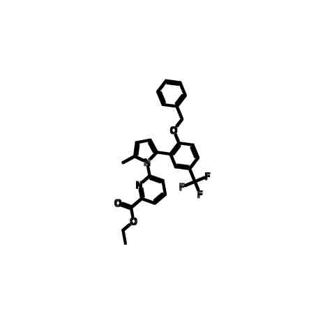 CCOC(=O)c1cccc(-n2c(C)ccc2-c2cc(C(F)(F)F)ccc2OCc2ccccc2)n1